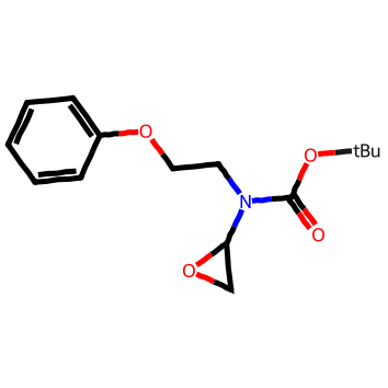 CC(C)(C)OC(=O)N(CCOc1ccccc1)C1CO1